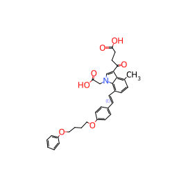 Cc1ccc(/C=C/c2ccc(OCCCCOc3ccccc3)cc2)c2c1c(C(=O)CCC(=O)O)cn2CC(=O)O